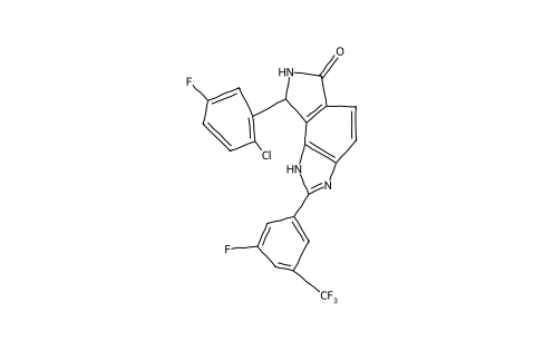 O=C1NC(c2cc(F)ccc2Cl)c2c1ccc1nc(-c3cc(F)cc(C(F)(F)F)c3)[nH]c21